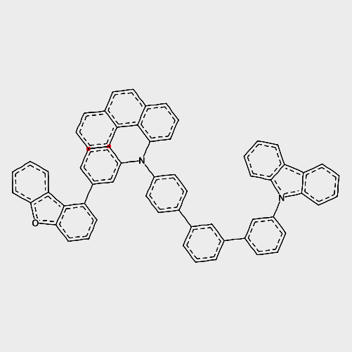 c1cc(-c2ccc(N(c3cccc(-c4cccc5oc6ccccc6c45)c3)c3cccc4ccc5ccccc5c34)cc2)cc(-c2cccc(-n3c4ccccc4c4ccccc43)c2)c1